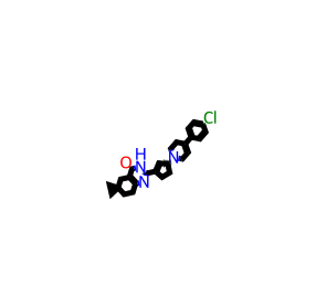 O=c1[nH]c(C2=C[C@H](N3CC=C(c4ccc(Cl)cc4)CC3)CC2)nc2c1CC1(CC2)CC1